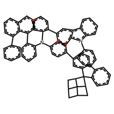 c1ccc(-c2cccc3cccc(-c4ccccc4N(c4ccc(-c5ccc6c(c5)C5(c7ccccc7-6)C6CC7CC8CC5C786)cc4)c4ccccc4-c4ccc5c(c4)c4ccccc4n5-c4ccccc4)c23)cc1